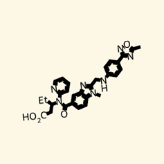 CCC(CC(=O)O)N(C(=O)c1ccc2c(c1)nc(CNc1ccc(-c3noc(C)n3)cc1)n2C)c1ccccn1